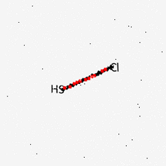 SCCCCCCCCCCCCCCCCCCCCCCCCCCCCCCCCCl